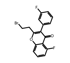 O=c1c(-c2cccc(F)c2)c(CCBr)oc2cccc(F)c12